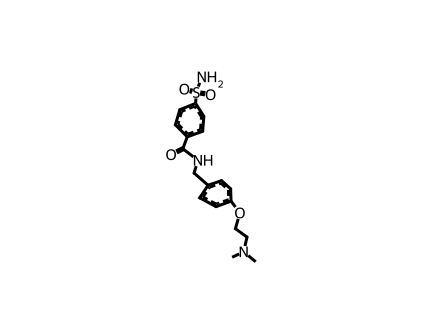 CN(C)CCOc1ccc(CNC(=O)c2ccc(S(N)(=O)=O)cc2)cc1